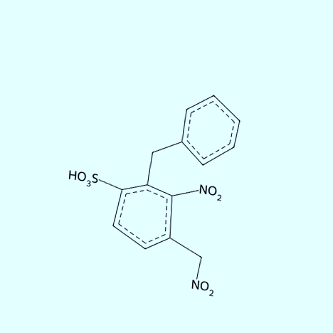 O=[N+]([O-])Cc1ccc(S(=O)(=O)O)c(Cc2ccccc2)c1[N+](=O)[O-]